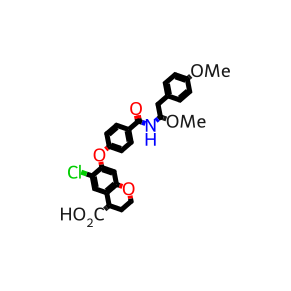 COc1ccc(CC(NC(=O)c2ccc(Oc3cc4c(cc3Cl)C(C(=O)O)CCO4)cc2)OC)cc1